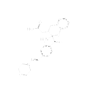 NC1(C(=O)c2ccc(C=NN3CCOCC3)cc2)Oc2ccccc2CC1CC(=O)O